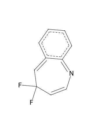 FC1(F)C=CN=c2ccccc2=C1